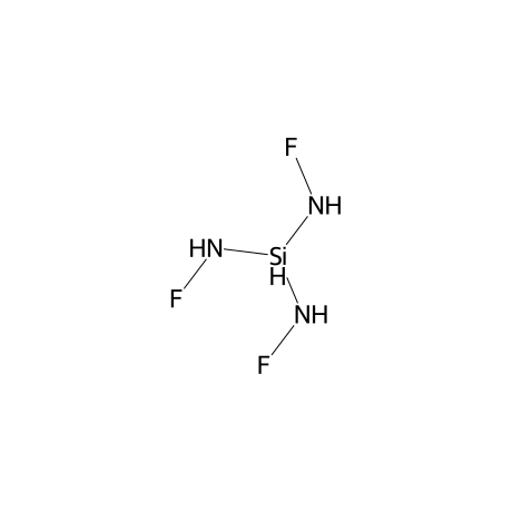 FN[SiH](NF)NF